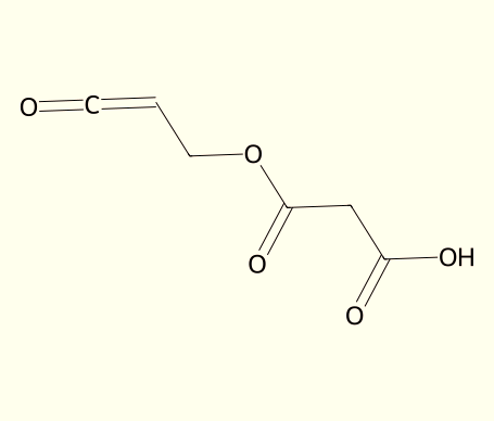 O=C=CCOC(=O)CC(=O)O